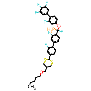 CCCCCOCC1CSC(c2ccc(-c3ccc(C(F)(P)Oc4ccc(-c5cc(F)c(F)c(F)c5)c(F)c4)c(F)c3)c(F)c2)SC1